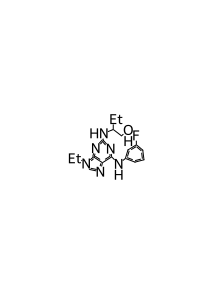 CCC(CO)Nc1nc(Nc2cccc(F)c2)c2ncn(CC)c2n1